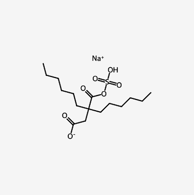 CCCCCCC(CCCCCC)(CC(=O)[O-])C(=O)OS(=O)(=O)O.[Na+]